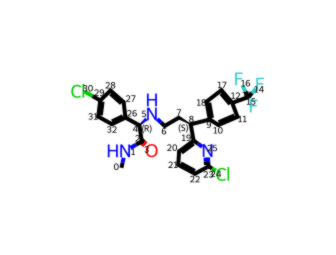 CNC(=O)[C@H](NCC[C@@H](c1ccc(C(F)(F)F)cc1)c1cccc(Cl)n1)c1ccc(Cl)cc1